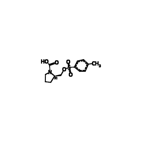 Cc1ccc(S(=O)(=O)OC[C@H]2CCCN2C(=O)O)cc1